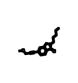 CCCCCN1Cc2cc(C#CCOC)ccc2C1=O